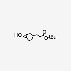 CC(C)(C)OC(=O)CCC1CCC2C(C1)[C@H]2O